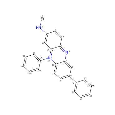 CCNc1ccc2nc3cc(-c4ccccc4)ccc3[n+](-c3ccccc3)c2c1